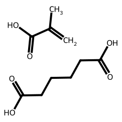 C=C(C)C(=O)O.O=C(O)CCCCC(=O)O